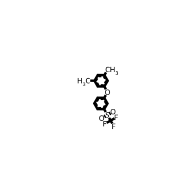 Cc1cc(C)cc(Oc2cccc(S(=O)(=O)C(F)(F)F)c2)c1